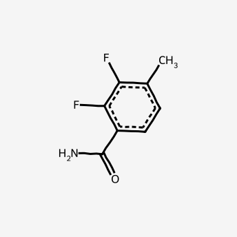 Cc1ccc(C(N)=O)c(F)c1F